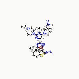 C[C@H]1CN(C)CCCN1c1nc(-c2noc([C@@]3(C)CCCc4sc(N)c(C#N)c43)n2)cc(N2CCC3(CCNC3)C2)n1